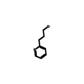 [O]CCCc1ccccn1